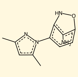 Cc1cc(C)n(-c2ccc3c(N)c2NO3)n1